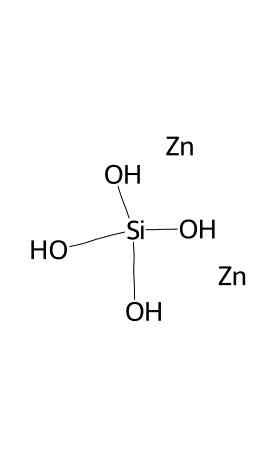 O[Si](O)(O)O.[Zn].[Zn]